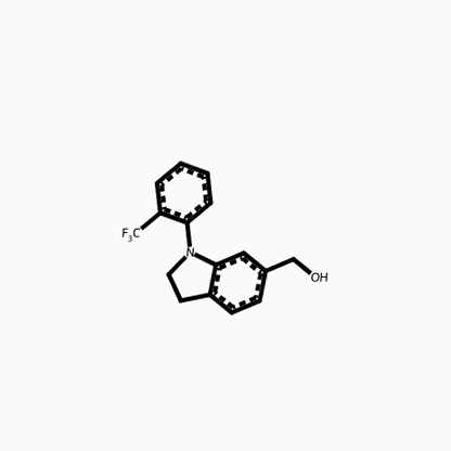 OCc1ccc2c(c1)N(c1ccccc1C(F)(F)F)CC2